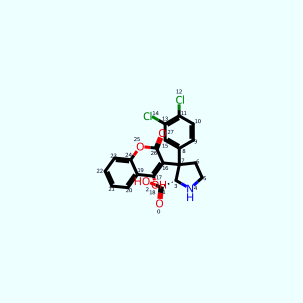 O=C(O)[C@H]1NCCC1(c1ccc(Cl)c(Cl)c1)c1c(O)c2ccccc2oc1=O